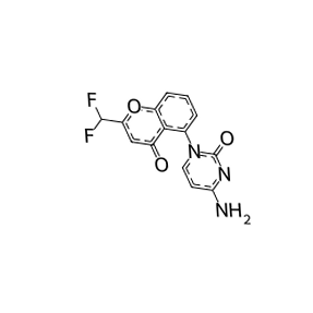 Nc1ccn(-c2cccc3oc(C(F)F)cc(=O)c23)c(=O)n1